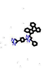 c1ccc(-c2cc(-c3cc4c5ccccc5c5ccccc5c4c4ccccc34)nc(-c3ccc(-c4cncnc4)cc3)n2)cc1